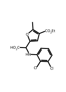 CCOC(=O)c1cc(C(Nc2cccc(Cl)c2Cl)C(=O)O)oc1C